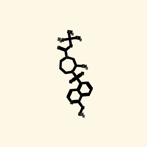 COc1nccc2c(S(=O)(=O)N3CCCN(C(=O)OC(C)(C)C)CC3C)cccc12